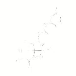 CCC1C(NC(=O)Nc2cccc(C)c2)C2C(C(=O)O)C2(CC)C1(NC(=O)OC(C)(C)C)C(=O)O